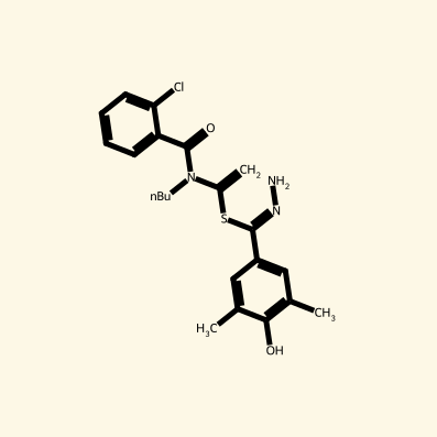 C=C(S/C(=N\N)c1cc(C)c(O)c(C)c1)N(CCCC)C(=O)c1ccccc1Cl